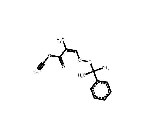 C#COC(=O)C(C)=COOC(C)(C)c1ccccc1